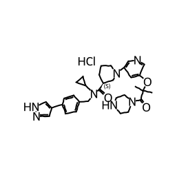 CC(C)(Oc1cncc(N2CCC[C@H](C(=O)N(Cc3ccc(-c4cn[nH]c4)cc3)C3CC3)C2)c1)C(=O)N1CCNCC1.Cl